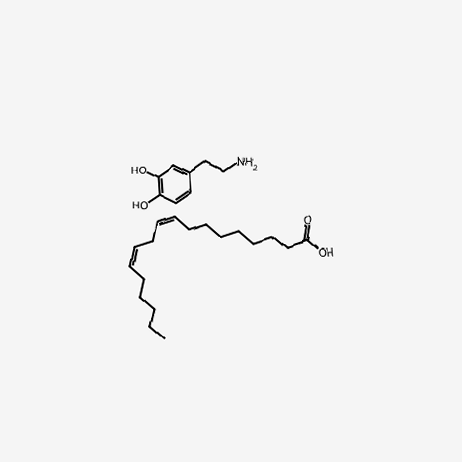 CCCCC/C=C\C/C=C\CCCCCCCC(=O)O.NCCc1ccc(O)c(O)c1